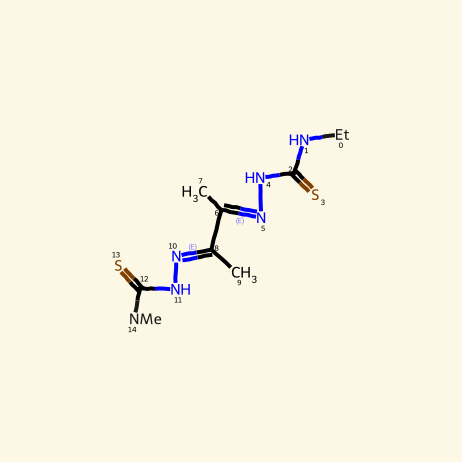 CCNC(=S)N/N=C(C)/C(C)=N/NC(=S)NC